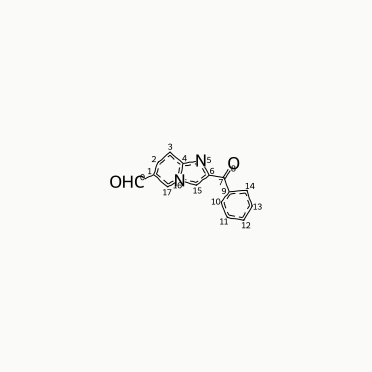 O=Cc1ccc2nc(C(=O)c3ccccc3)cn2c1